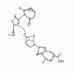 COC(=O)c1cc(F)c2nc(N3CC4CC3CC4OCc3c(-c4c(Cl)cccc4Cl)noc3C3CC3)sc2c1